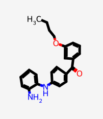 CCCCOc1cccc(C(=O)c2ccc(Nc3ccccc3N)cc2)c1